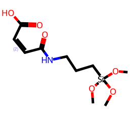 CO[Si](CCCNC(=O)/C=C\C(=O)O)(OC)OC